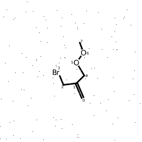 C=C(CBr)COOC